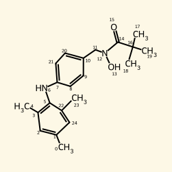 Cc1cc(C)c(Nc2ccc(CN(O)C(=O)C(C)(C)C)cc2)c(C)c1